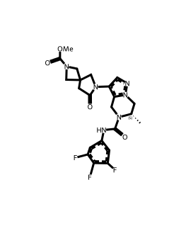 COC(=O)N1CC2(CC(=O)N(c3cnn4c3CN(C(=O)Nc3cc(F)c(F)c(F)c3)[C@@H](C)C4)C2)C1